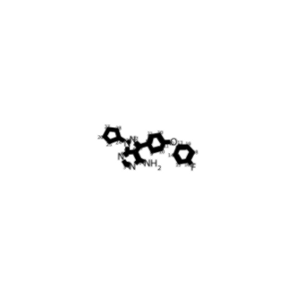 Nc1ncnc2c1c(-c1ccc(Oc3ccc(F)cc3)cc1)nn2C1CCCC1